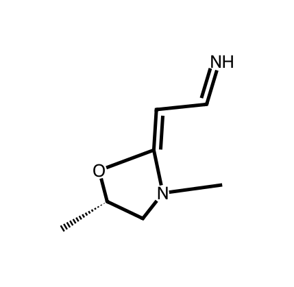 C[C@H]1CN(C)/C(=C\C=N)O1